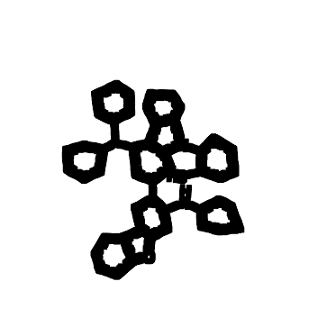 B1c2ccccc2-n2c3ccccc3c3c(C(c4ccccc4)c4ccccc4)cc(-c4cc5c(cc4Nc4ccccc4)oc4ccccc45)c1c32